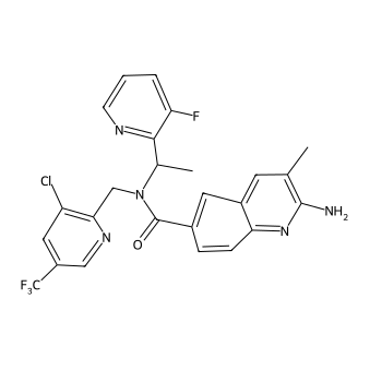 Cc1cc2cc(C(=O)N(Cc3ncc(C(F)(F)F)cc3Cl)C(C)c3ncccc3F)ccc2nc1N